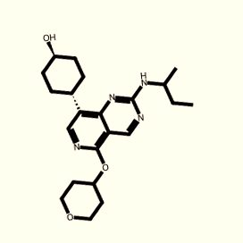 CCC(C)Nc1ncc2c(OC3CCOCC3)ncc([C@H]3CC[C@H](O)CC3)c2n1